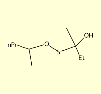 CCCC(C)OSC(C)(O)CC